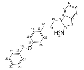 N[C@H]1Cc2ccccc2[C@H]1CCCc1ccc(OCc2ccccc2)cc1